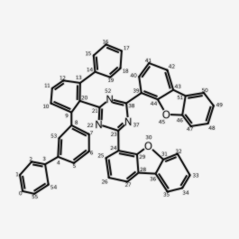 c1ccc(-c2cccc(-c3cccc(-c4ccccc4)c3-c3nc(-c4cccc5c4oc4ccccc45)nc(-c4cccc5c4oc4ccccc45)n3)c2)cc1